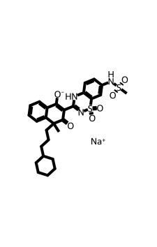 CC1(CCCC2CCCCC2)C(=O)C(C2=NS(=O)(=O)c3cc(NS(C)(=O)=O)ccc3N2)=C([O-])c2ccccc21.[Na+]